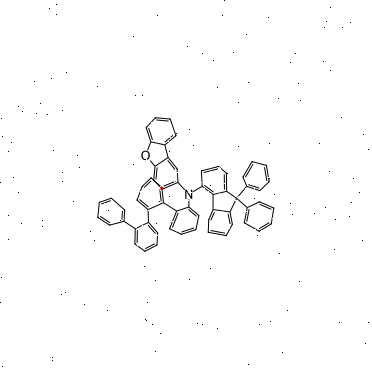 c1ccc(-c2ccccc2-c2ccccc2-c2ccccc2N(c2ccc3oc4ccccc4c3c2)c2cccc3c2-c2ccccc2C3(c2ccccc2)c2ccccc2)cc1